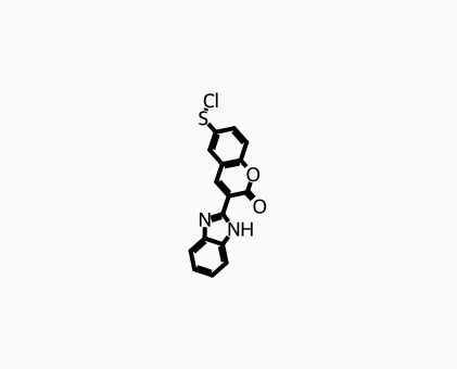 O=c1oc2ccc(SCl)cc2cc1-c1nc2ccccc2[nH]1